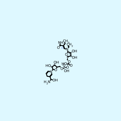 C=CN(/C=C(\CC)C(N)=O)C1O[C@H](COP(=O)(O)OP(=O)(O)OCC2OC(N3C=CCC(C(N)O)=C3)[C@H](O)[C@@H]2O)[C@@H](O)[C@H]1O